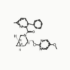 COc1cnc(OC[C@@H]2C[C@H]3C[C@H]3CN2C(=O)c2nc(C)ccc2-c2ccccc2)nc1